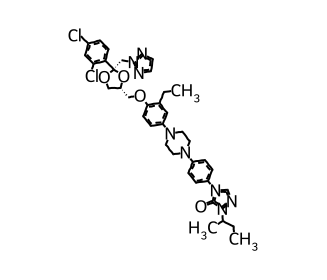 CCc1cc(N2CCN(c3ccc(-n4cnn(C(C)CC)c4=O)cc3)CC2)ccc1OC[C@@H]1CO[C@@](Cn2nccn2)(c2ccc(Cl)cc2Cl)O1